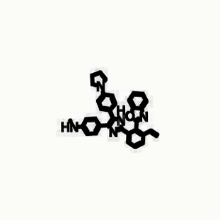 C=Cc1cccc(-c2nc(-c3ccc(NC)cc3)c(-c3ccc(N4CCCC4)cc3)[nH]2)c1-c1nc2ccccc2o1